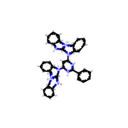 c1ccc(-c2nc(-n3c4ccccc4n4c5ccccc5nc34)cc(-n3c4ccccc4n4c5ccccc5nc34)n2)cc1